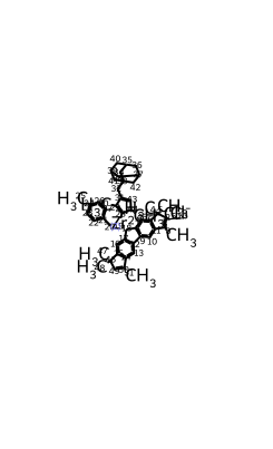 CC1=CC(C)(C)c2cc3c(cc21)-c1cc2c(cc1[CH]3/[Zr+2](=[CH]/c1ccc(C)cc1)[C]1=C(C)C(CC34CC5CC(CC(C5)C3)C4)=CC1C)C(C)(C)C=C2C.[Cl-].[Cl-]